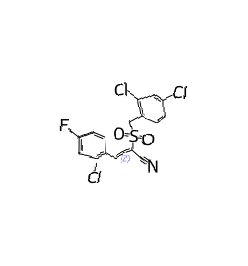 N#C/C(=C/c1ccc(F)cc1Cl)S(=O)(=O)Cc1ccc(Cl)cc1Cl